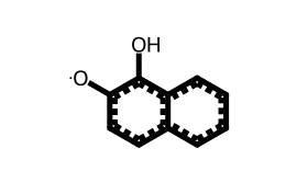 [O]c1ccc2ccccc2c1O